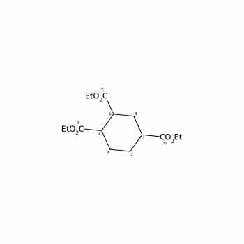 CCOC(=O)C1CCC(C(=O)OCC)C(C(=O)OCC)C1